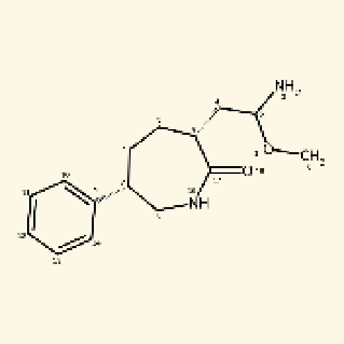 COC(N)C[C@H]1CC[C@@H](c2ccccc2)CNC1=O